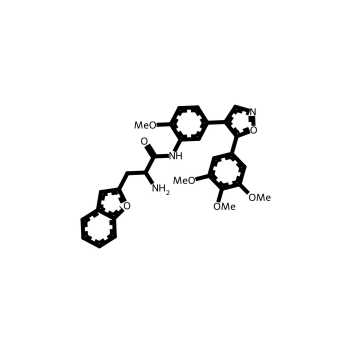 COc1ccc(-c2cnoc2-c2cc(OC)c(OC)c(OC)c2)cc1NC(=O)C(N)Cc1cc2ccccc2o1